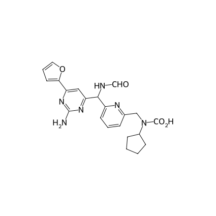 Nc1nc(-c2ccco2)cc(C(NC=O)c2cccc(CN(C(=O)O)C3CCCC3)n2)n1